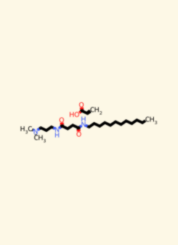 C=CC(=O)O.CCCCCCCCCCCCNC(=O)CCC(=O)NCCCN(C)C